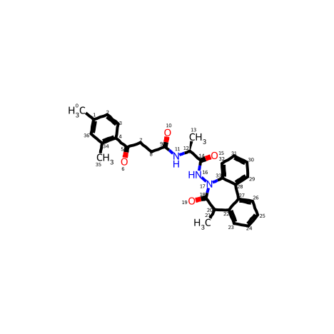 Cc1ccc(C(=O)CCC(=O)N[C@@H](C)C(=O)NN2C(=O)C(C)c3ccccc3-c3ccccc32)c(C)c1